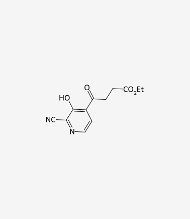 CCOC(=O)CCC(=O)c1ccnc(C#N)c1O